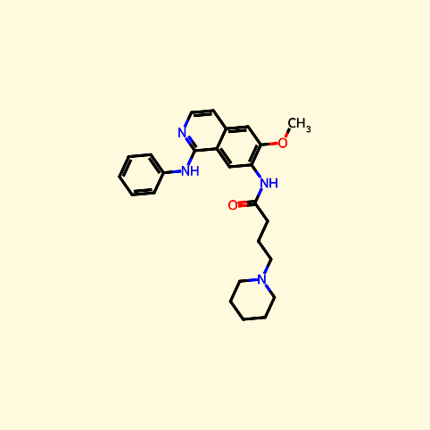 COc1cc2ccnc(Nc3ccccc3)c2cc1NC(=O)CCCN1CCCCC1